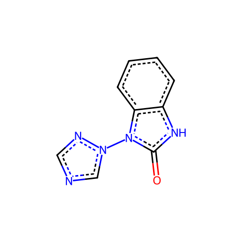 O=c1[nH]c2ccccc2n1-n1cncn1